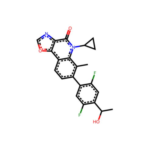 Cc1c(-c2cc(F)c(C(C)O)cc2F)ccc2c3ocnc3c(=O)n(C3CC3)c12